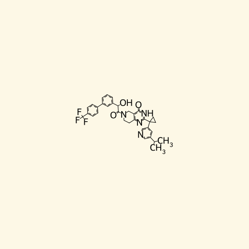 CC(C)c1cncc(C2(c3nc4c(c(=O)[nH]3)CN(C(=O)C(O)c3cccc(-c5ccc(C(F)(F)F)cc5)c3)CC4)CC2)c1